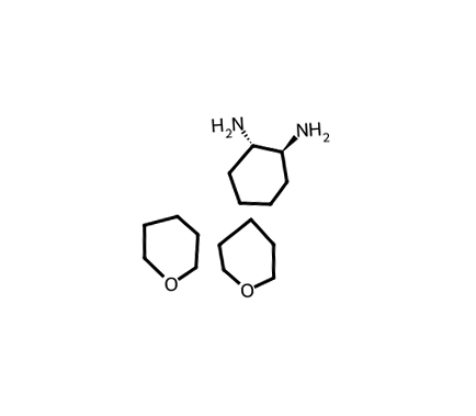 C1CCOCC1.C1CCOCC1.N[C@H]1CCCC[C@@H]1N